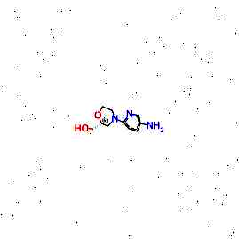 Nc1ccc(N2CCO[C@@H](CO)C2)nc1